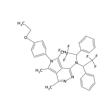 CCOc1ccc(-n2c(C)c3c(C)nnc(N(C(c4ccccc4)C(F)(F)F)C(c4ccccc4)C(F)(F)F)c3c2C)cc1